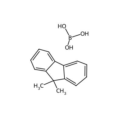 CC1(C)c2ccccc2-c2ccccc21.OB(O)O